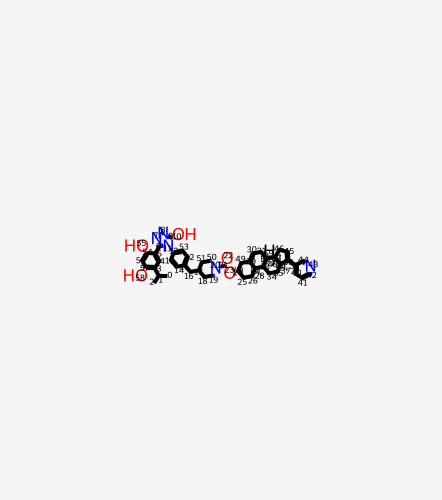 CC(C)c1cc(-c2nnc(O)n2-c2ccc(CC3CCN(C(=O)O[C@H]4CC[C@@]5(C)C(=CC[C@@H]6C5CC[C@]5(C)C(c7cccnc7)=CC[C@@]65C)C4)CC3)cc2)c(O)cc1O